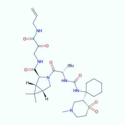 C=CCNC(=O)C(=O)CNC(=O)[C@@H]1[C@@H]2[C@H](CN1C(=O)[C@@H](NC(=O)NC1([C@H]3CN(C)CCS3(=O)=O)CCCCC1)C(C)(C)C)C2(C)C